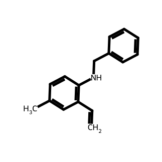 C=Cc1cc(C)ccc1NCc1ccccc1